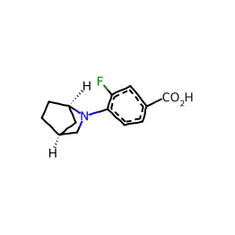 O=C(O)c1ccc(N2C[C@H]3CC[C@@H]2C3)c(F)c1